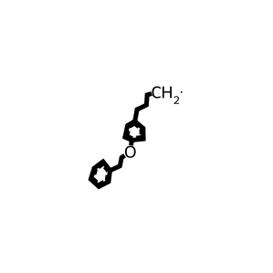 [CH2]CCCc1ccc(OCCc2ccccc2)cc1